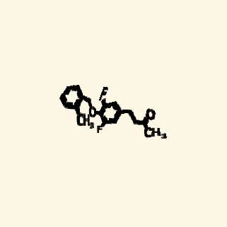 CC(=O)CCc1cc(F)c(OCc2ccccc2C)c(F)c1